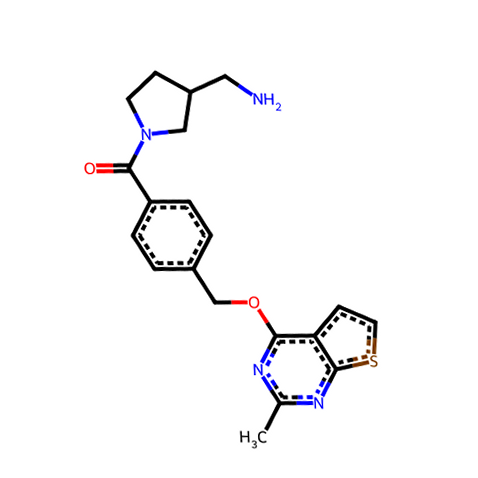 Cc1nc(OCc2ccc(C(=O)N3CCC(CN)C3)cc2)c2ccsc2n1